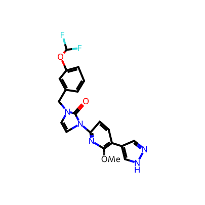 COc1nc(-n2ccn(Cc3cccc(OC(F)F)c3)c2=O)ccc1-c1cn[nH]c1